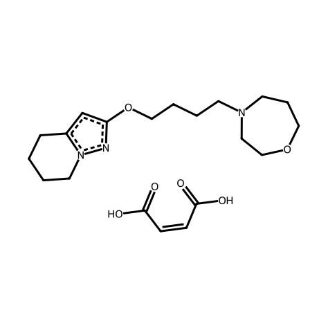 O=C(O)/C=C\C(=O)O.c1c(OCCCCN2CCCOCC2)nn2c1CCCC2